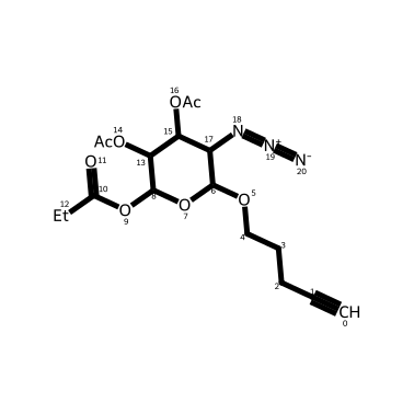 C#CCCCOC1OC(OC(=O)CC)C(OC(C)=O)C(OC(C)=O)C1N=[N+]=[N-]